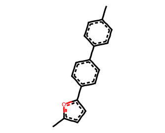 Cc1ccc(-c2ccc(-c3ccc(C)o3)cc2)cc1